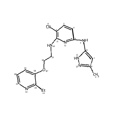 [C-]#[N+]c1ccc(Nc2cc(C)n[nH]2)nc1NCCOc1cccnc1CC